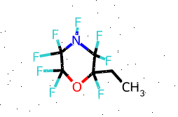 CCC1(F)OC(F)(F)C(F)(F)N(F)C1(F)F